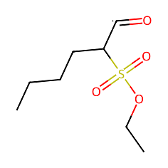 CCCCC([C]=O)S(=O)(=O)OCC